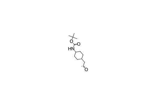 CC(C)(C)OC(=O)NC1CCC(C[C]=O)CC1